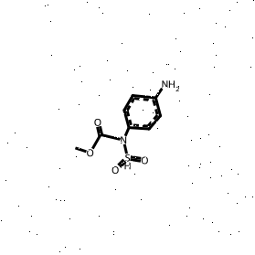 COC(=O)N(c1ccc(N)cc1)[SH](=O)=O